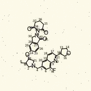 C[C@@H]1CN(Cc2cc(F)c3nc([C@H]4CCOC4)ccc3c2)C[C@H]1Oc1ccc2c(c1)CN(N1C(=O)CCCC1=O)C2=O